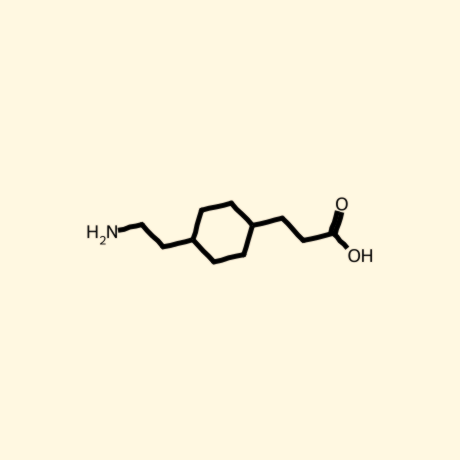 NCCC1CCC(CCC(=O)O)CC1